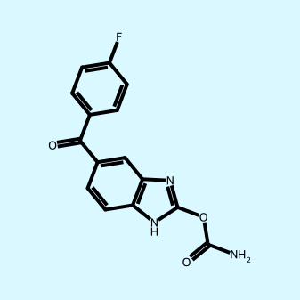 NC(=O)Oc1nc2cc(C(=O)c3ccc(F)cc3)ccc2[nH]1